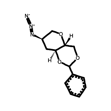 [N-]=[N+]=N[C@H]1CO[C@@H]2COC(c3ccccc3)O[C@H]2C1